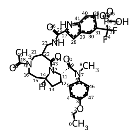 CCOc1ccc(N(C)C(=O)[C@@H]2CC[C@@H]3CCN(C(C)=O)CC(CNC(=O)c4cc5cc(C(F)(F)P(=O)(O)O)ccc5[nH]4)C(=O)N32)cc1